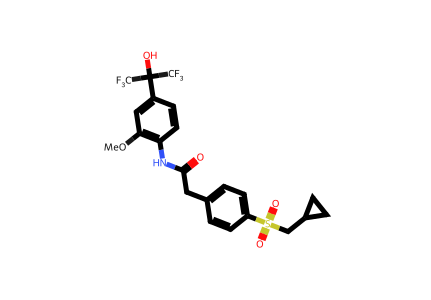 COc1cc(C(O)(C(F)(F)F)C(F)(F)F)ccc1NC(=O)Cc1ccc(S(=O)(=O)CC2CC2)cc1